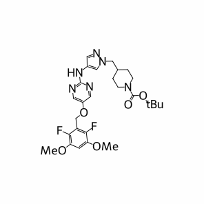 COc1cc(OC)c(F)c(COc2cnc(Nc3cnn(CC4CCN(C(=O)OC(C)(C)C)CC4)c3)nc2)c1F